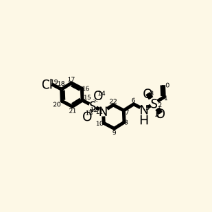 C=CS(=O)(=O)NCC1CCCN(S(=O)(=O)c2ccc(Cl)cc2)C1